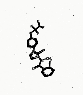 C[C@H](C(=O)c1ccccc1F)n1ccn(-c2ccc(OC(F)(F)C(F)F)cc2)c1=O